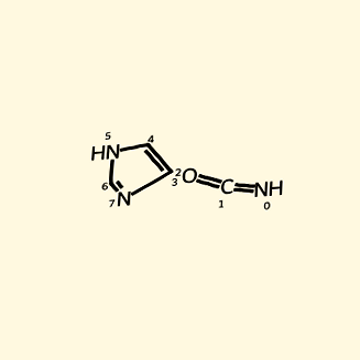 N=C=O.c1c[nH]cn1